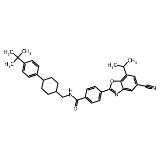 CC(C)c1cc(C#N)cc2nc(-c3ccc(C(=O)NCC4CCC(c5ccc(C(C)(C)C)cc5)CC4)cc3)oc12